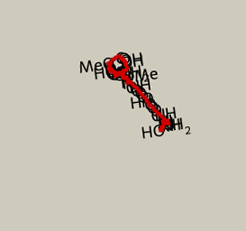 CO[C@H]1C[C@@H]2CC[C@@H](C)[C@@](O)(O2)C(=O)C(=O)N2CCCC[C@H]2C(=O)O[C@H]([C@H](N)C[C@@H]2CC[C@H](n3cc(CCCC(=O)NCCOCCOCCOCCC(=O)NCCOCCOCCOCCC(=O)NCCCCn4nc(-c5cc6cc(O)ccc6[nH]5)c5c(N)ncnc54)nn3)[C@H](OC)C2)CC(=O)[C@H](C)/C=C(\C)[C@@H](O)[C@@H](O)C(=O)[C@H](C)C[C@H](C)/C=C/C=C/C=C/1C